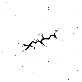 O=C(O)CCC(O)C(=O)OCCC(Cl)(Cl)Cl